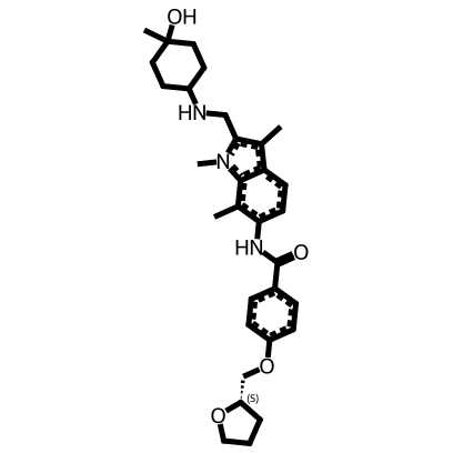 Cc1c(CNC2CCC(C)(O)CC2)n(C)c2c(C)c(NC(=O)c3ccc(OC[C@@H]4CCCO4)cc3)ccc12